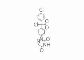 O=C(Cl)C(Cl)(c1ccc(Cl)cc1)c1ccc(-n2ncc(=O)[nH]c2=O)cc1